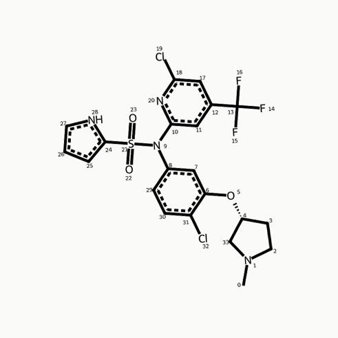 CN1CC[C@@H](Oc2cc(N(c3cc(C(F)(F)F)cc(Cl)n3)S(=O)(=O)c3ccc[nH]3)ccc2Cl)C1